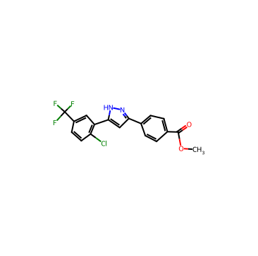 COC(=O)c1ccc(-c2cc(-c3cc(C(F)(F)F)ccc3Cl)[nH]n2)cc1